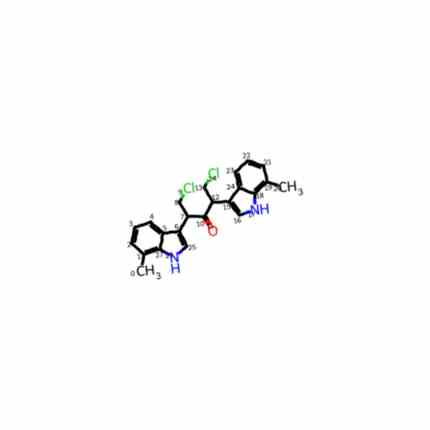 Cc1cccc2c(C(CCl)C(=O)C(CCl)c3c[nH]c4c(C)cccc34)c[nH]c12